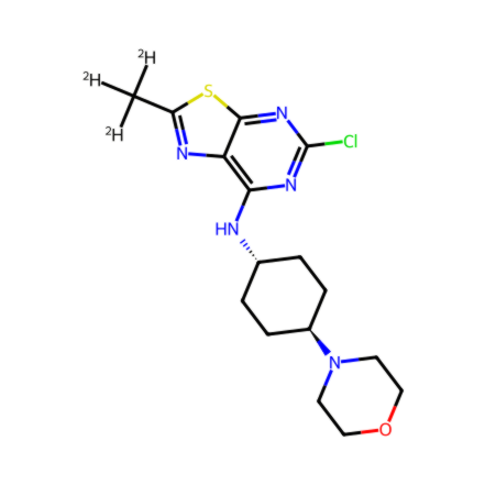 [2H]C([2H])([2H])c1nc2c(N[C@H]3CC[C@H](N4CCOCC4)CC3)nc(Cl)nc2s1